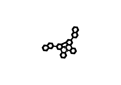 c1ccc2c(c1)B1c3ccccc3-c3cc(-c4ccc5ccccc5c4)cc4c5cc(-c6ccc7ccccc7c6)cc-2c5n1c34